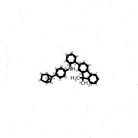 CC1(C)c2ccccc2-c2ccc(-c3ccccc3Nc3ccc(C4CC5CCC4C5)cc3)cc21